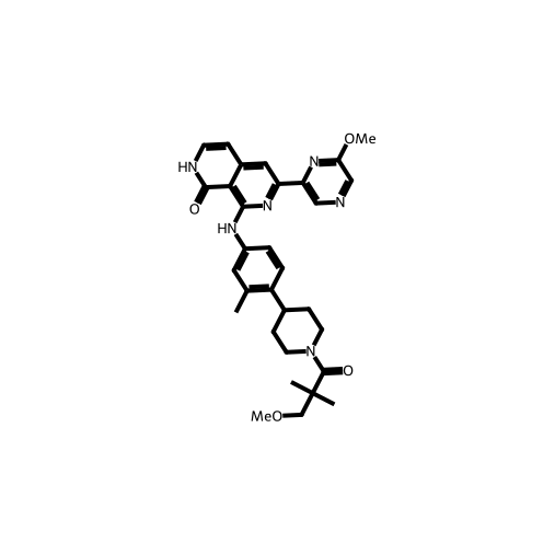 COCC(C)(C)C(=O)N1CCC(c2ccc(Nc3nc(-c4cncc(OC)n4)cc4cc[nH]c(=O)c34)cc2C)CC1